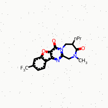 CCCC1Cn2c(nc3c(oc4cc(C(F)(F)F)ccc43)c2=O)CN(C)C1=O